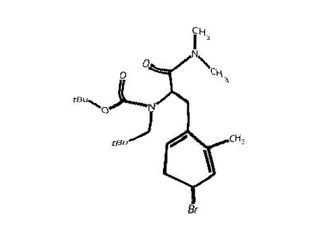 CC1=CC(Br)CC=C1CC(C(=O)N(C)C)N(CC(C)(C)C)C(=O)OC(C)(C)C